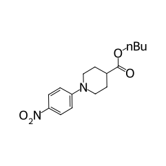 CCCCOC(=O)C1CCN(c2ccc([N+](=O)[O-])cc2)CC1